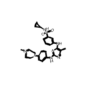 Cc1cnc(Nc2ccc(N3CCN(C)CC3)cc2)nc1Nc1cccc(S(=O)(=O)NC2CC2)c1